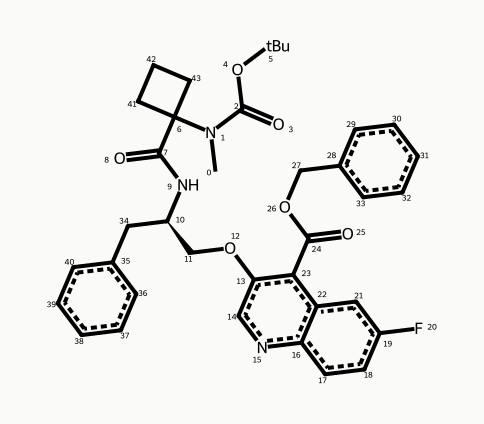 CN(C(=O)OC(C)(C)C)C1(C(=O)N[C@@H](COc2cnc3ccc(F)cc3c2C(=O)OCc2ccccc2)Cc2ccccc2)CCC1